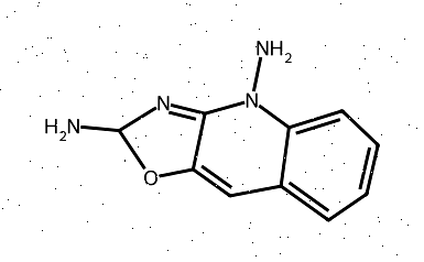 NC1N=C2C(=Cc3ccccc3N2N)O1